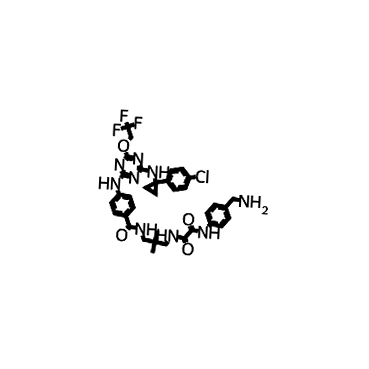 CC(C)(CNC(=O)C(=O)Nc1ccc(CN)cc1)CNC(=O)c1ccc(Nc2nc(NC3(c4ccc(Cl)cc4)CC3)nc(OCC(F)(F)F)n2)cc1